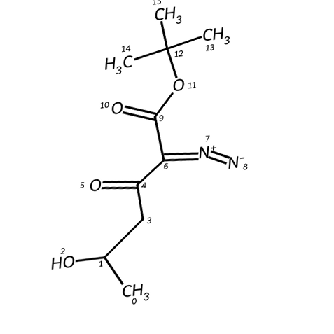 CC(O)CC(=O)C(=[N+]=[N-])C(=O)OC(C)(C)C